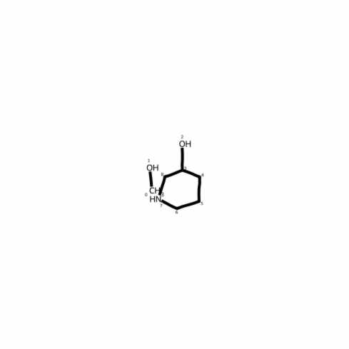 CO.OC1CCCNC1